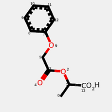 CC(OC(=O)COc1ccccc1)C(=O)O